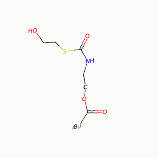 CCC(C)C(=O)OCCNC(=O)SCCO